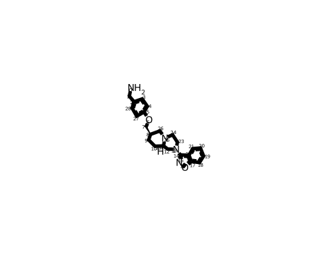 NCc1ccc(OC[C@@H]2CC[C@@H]3CN(c4noc5ccccc45)CCN3C2)cc1